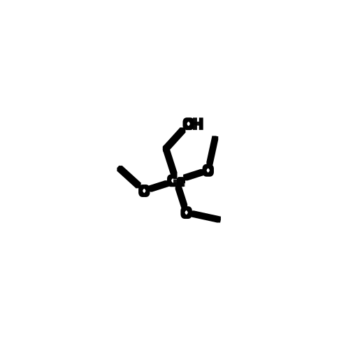 C[O][Ge]([CH2]O)([O]C)[O]C